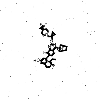 CCc1c(F)ccc2cc(O)cc(-c3ccc4c(N5CC6CCC(C5)N6)nc(OCC5(CN6CCC7(CC6)CC7(F)F)CC5)nc4c3F)c12